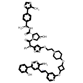 Cc1ncsc1-c1ccc([C@H](C)NC(=O)[C@@H]2C[C@@H](O)CN2C(=O)[C@@H](c2cc(OCCN3CCC(OC4CC(Oc5cc(/C=C/c6cc(-c7ccccc7O)nnc6N)ccn5)C4)CC3)no2)C(C)C)cc1